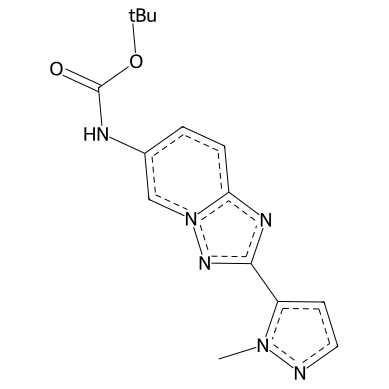 Cn1nccc1-c1nc2ccc(NC(=O)OC(C)(C)C)cn2n1